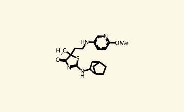 COc1ccc(NCCC2(C)SC(NC3CC4CCC3C4)=NC2=O)cn1